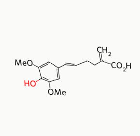 C=C(CCC=Cc1cc(OC)c(O)c(OC)c1)C(=O)O